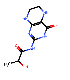 CC(O)C(=O)Nc1nc2c(c(=O)[nH]1)NCCN2